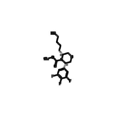 CC(C)(C)OC(=O)N1[C@H](CCCCO)COC[C@@H]1c1cc(F)c(F)c(F)c1